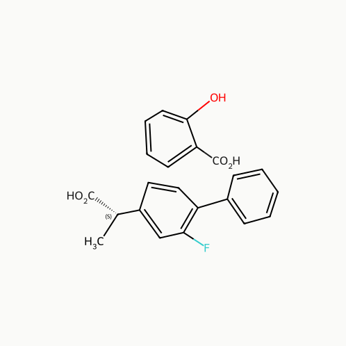 C[C@H](C(=O)O)c1ccc(-c2ccccc2)c(F)c1.O=C(O)c1ccccc1O